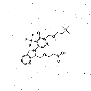 C[Si](C)(C)CCOCn1ncc(N2Cc3cccnc3C2COCCC(=O)O)c(C(F)(F)F)c1=O